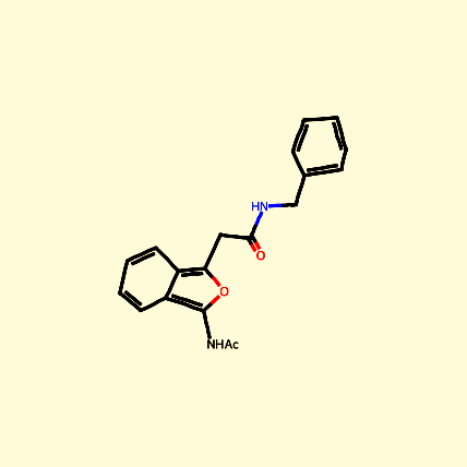 CC(=O)Nc1oc(CC(=O)NCc2ccccc2)c2ccccc12